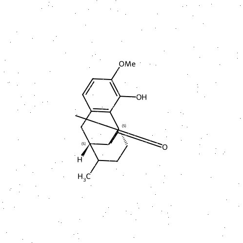 COc1ccc2c(c1O)[C@]13CCC(C)[C@H](C2)C1CCC(=O)C3